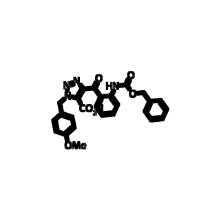 COc1ccc(Cn2nnc(C(=O)c3ccccc3NC(=O)OCc3ccccc3)c2C(=O)O)cc1